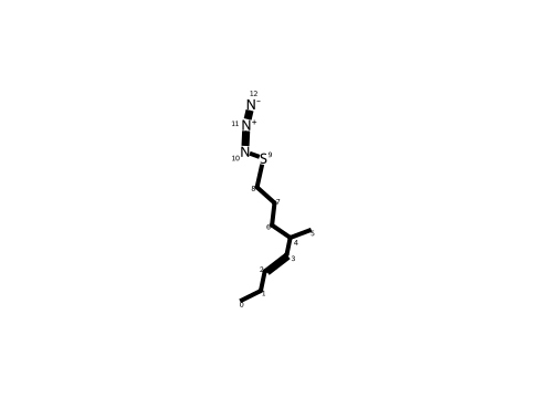 CC/C=C/C(C)CCCSN=[N+]=[N-]